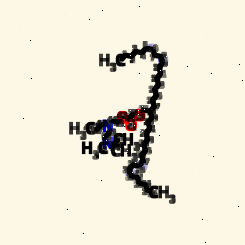 CCCCC/C=C\C/C=C\CCCCCCCCC(CCCCCCCC/C=C\C/C=C\CCCCC)COCC(=O)OCCN(CCC)CCN(C)C(C)C